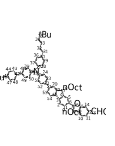 CCCCCCCCc1cc2c(cc1-c1cc3ccc(C=O)cc3o1)C(CCCCCCCC)c1cc(-c3ccc(N(c4ccc(/C=C/C=C/C(C)(C)C)cc4)c4ccc(-c5ccc(C(C)(C)C)cc5)cc4)cc3)ccc1-2